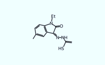 C=C(S)N/N=C1\C(=O)N(CC)c2ccc(C)cc21